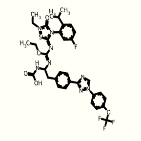 CCOC(=N\C(Cc1ccc(-c2ncn(-c3ccc(OC(F)(F)F)cc3)n2)cc1)NC(=O)O)/N=c1\sn(CC)c(=O)n1-c1cc(F)ccc1C(C)C